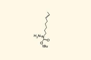 CC=CCCCCCN(N)C(=O)OC(C)(C)C